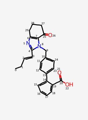 CC/C=C/c1nc2c(n1Cc1ccc(-c3ccccc3C(=O)O)cc1)C(=O)CCC2